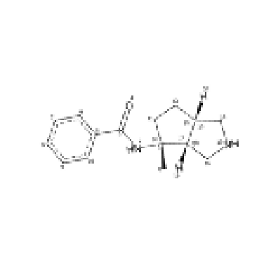 C[C@@]1(NC(=O)c2ccccc2)CC[C@@H]2CNC[C@@H]21